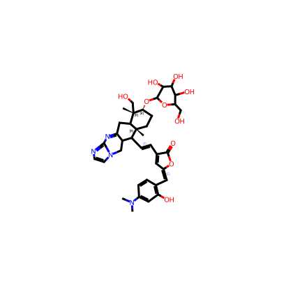 CN(C)c1ccc(/C=C2C=C(/C=C/C3C4Cn5ccnc5N=C4CC4[C@]3(C)CC[C@@H](OC3OC(CO)C(O)C(O)C3O)[C@@]4(C)CO)C(=O)O\2)c(O)c1